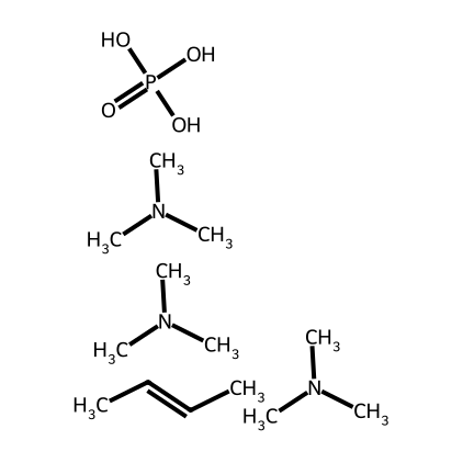 CC=CC.CN(C)C.CN(C)C.CN(C)C.O=P(O)(O)O